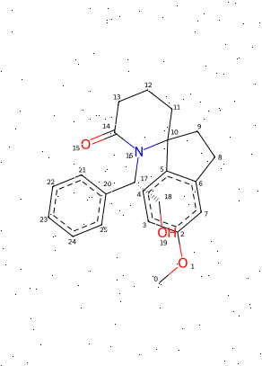 COc1ccc2c(c1)CCC21CCCC(=O)N1[C@H](CO)c1ccccc1